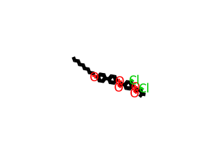 CCCCCCCCCOc1ccc(-c2ccc(OC(=O)c3ccc(OC(=O)C(Cl)C(C)C)c(Cl)c3)cc2)cc1